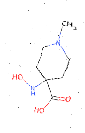 CN1CCC(NO)(C(=O)O)CC1